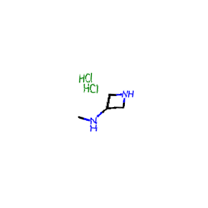 CNC1CNC1.Cl.Cl